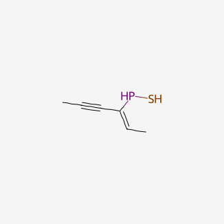 CC#CC(=CC)PS